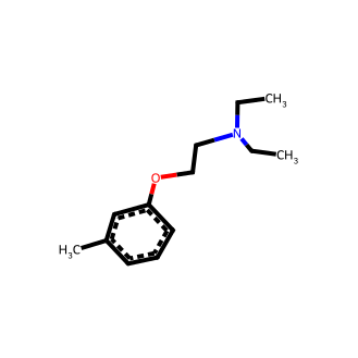 CCN(CC)CCOc1cccc(C)c1